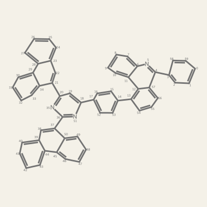 c1ccc(-c2nc3ccccc3c3c(-c4ccc(-c5cc(-c6cc7ccccc7c7ccccc67)nc(-c6cc7ccccc7c7ccccc67)n5)cc4)cccc23)cc1